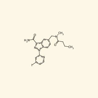 CCCC(=O)N(C)Cc1ccc2c(c1)c(C(N)=O)nn2-c1cc(I)ccn1